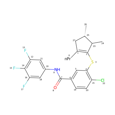 CCCC1=C(Sc2cc(C(=O)Nc3cc(F)c(F)c(F)c3)ccc2Cl)C(C)[C@@H](C)C1